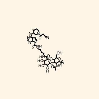 CC(=O)NC1C(OC2OC(C(=O)NCCCCNC(=S)n3ccc4c(N(C)[C@H]5CN(C(=O)CC#N)CC[C@H]5C)ncnc43)C(O)C(O)C2O)C(O)C(CO)OC1C(C)(C)C